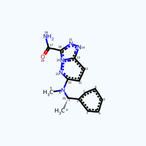 C[C@@H](c1ccccc1)N(C)c1ccc2nnc(C(N)=O)n2n1